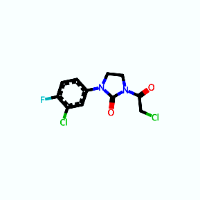 O=C(CCl)N1CCN(c2ccc(F)c(Cl)c2)C1=O